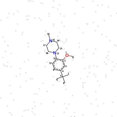 COc1cc(C(C)(C)C)ccc1N1CCN(C)CC1